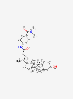 C[C@H](CCC(=O)NC1CCC(C(=O)N(C)C)CC1)[C@H]1CC[C@H]2[C@@H]3CC=C4C[C@@H](O)CC[C@]4(C)[C@H]3CC[C@]12C